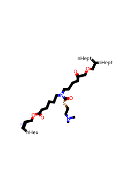 CCCCCC/C=C\COC(=O)CCCCCN(CCCCC(=O)COCC(CCCCCCC)CCCCCCC)C(=O)SCCN(C)C